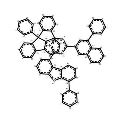 c1ccc(-c2cc(-c3nc(-c4ccccc4C4(c5ccccc5)c5ccccc5-c5ccccc54)nc(-c4cccc5sc6c(-c7ccccc7)cccc6c45)n3)cc3ccccc23)cc1